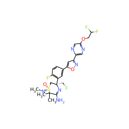 CN=[S@@]1(=O)C[C@@](CF)(c2cc(-c3cc(-c4cnc(OCC(F)F)cn4)no3)ccc2F)N=C(N)C1(C)C